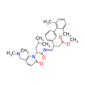 COC(=O)CC(/C=N/C(=O)C(CC(C)C)n1cc(CN(C)C)ccc1=O)c1cccc(-c2c(C)cccc2C)c1